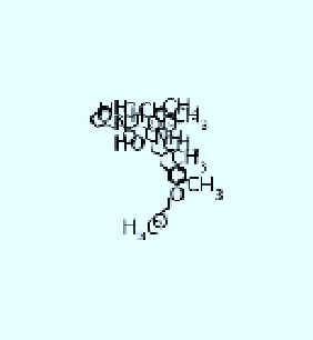 COCCCOc1cc(C[C@@H](C[C@H](NC(=O)OC(C)(C)C)[C@@H](O)C[C@H](C(=O)NC[C@H]2CCCO2)C(C)C)C(C)C)ccc1C